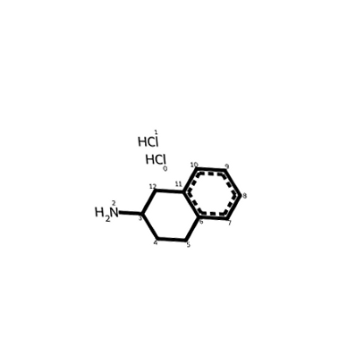 Cl.Cl.NC1CCc2ccccc2C1